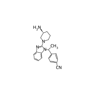 CC(c1ccc(C#N)cc1)n1c(N2CCC[C@H](N)C2)nc2ccccc21